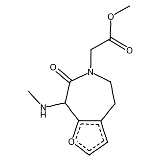 CNC1C(=O)N(CC(=O)OC)CCc2ccoc21